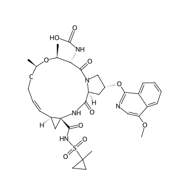 COc1cnc(O[C@@H]2C[C@H]3C(=O)N[C@]4(C(=O)NS(=O)(=O)C5(C)CC5)C[C@H]4/C=C\CC[C@@H](C)O[C@@H](C)[C@H](NC(=O)O)C(=O)N3C2)c2ccccc12